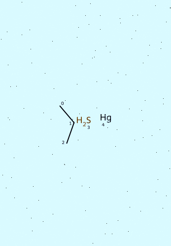 CCC.S.[Hg]